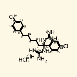 Cl.Cl.N=C(N)NC(CCCCCc1ccc(Cl)cc1)(NC(=N)N)c1ccc(Cl)cc1